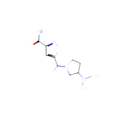 CC(c1cc(C(N)=O)no1)N1CCC(N(C)C)C1